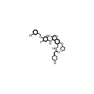 N#Cc1cnc2cc(OC3CCOC3)c(CNC(=O)C=C3CCNCC3)cc2c1Nc1ccc(OCc2cccc(Cl)c2)c(F)c1